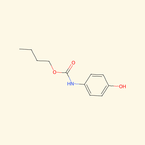 CCCCOC(=O)Nc1ccc(O)cc1